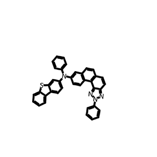 c1ccc(N(c2ccc3c(ccc4ccc5nn(-c6ccccc6)nc5c43)c2)c2ccc3c(c2)sc2ccccc23)cc1